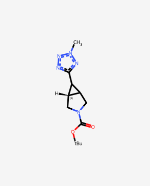 Cn1nnc(C2C3CN(C(=O)OC(C)(C)C)C[C@@H]32)n1